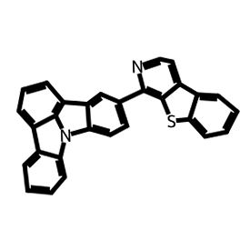 c1ccc2c(c1)sc1c(-c3ccc4c(c3)c3cccc5c6ccccc6n4c53)nccc12